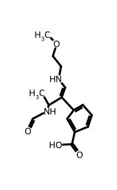 COCCN/C=C(/c1cccc(C(=O)O)c1)C(C)NC=O